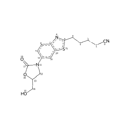 N#CCCCCc1nc2ccc(N3CC(CO)OC3=O)cc2s1